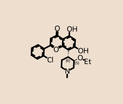 CCO[C@@H]1CN(C)CC[C@@H]1c1c(O)cc(O)c2c(=O)cc(-c3ccccc3Cl)oc12